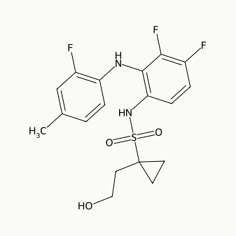 Cc1ccc(Nc2c(NS(=O)(=O)C3(CCO)CC3)ccc(F)c2F)c(F)c1